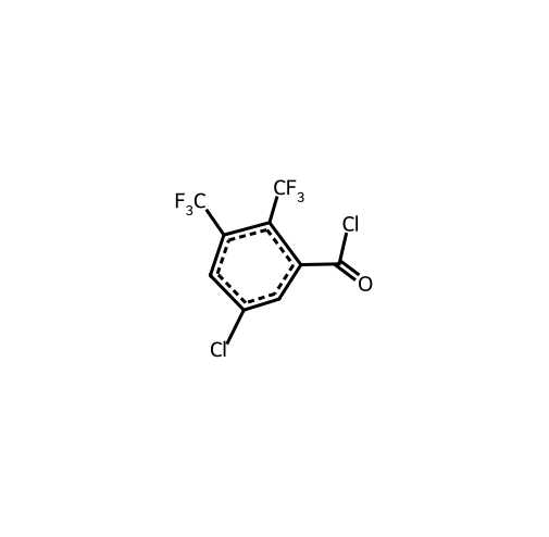 O=C(Cl)c1cc(Cl)cc(C(F)(F)F)c1C(F)(F)F